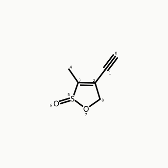 C#CC1=C(C)S(=O)OC1